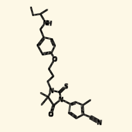 CCC(C)NCc1ccc(OCCCN2C(=S)N(c3ccc(C#N)c(C)c3)C(=O)C2(C)C)cc1